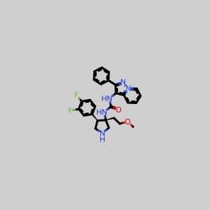 COCC[C@@]1(NC(=O)Nc2c(-c3ccccc3)nn3ccccc23)CNC[C@H]1c1ccc(F)c(F)c1